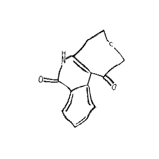 O=C1CCCCc2[nH]c(=O)c3ccccc3c21